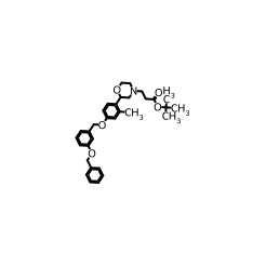 Cc1cc(OCc2cccc(OCc3ccccc3)c2)ccc1C1CN(CCC(=O)OC(C)(C)C)CCO1